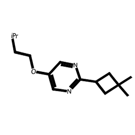 CC(C)CCOc1cnc(C2CC(C)(C)C2)nc1